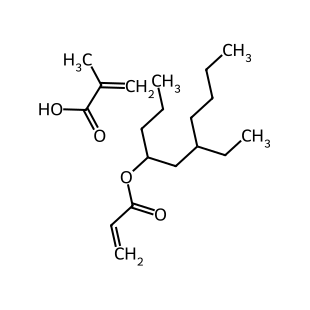 C=C(C)C(=O)O.C=CC(=O)OC(CCC)CC(CC)CCCC